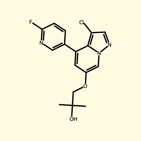 CC(C)(O)COc1cc(-c2ccc(F)nc2)c2c(Cl)cnn2c1